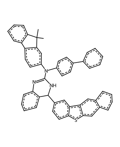 CC1(C)c2ccccc2-c2ccc(N(C3=Nc4ccccc4C(c4ccc5sc6cc7ccccc7cc6c5c4)N3)c3ccc(-c4ccccc4)cc3)cc21